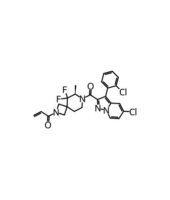 C=CC(=O)N1CC2(CCN(C(=O)c3nn4ccc(Cl)cc4c3-c3ccccc3Cl)[C@H](C)C2(F)F)C1